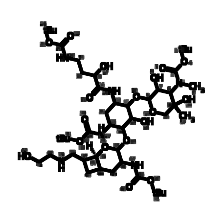 CN(C(=O)OC(C)(C)C)C1C(O)C(OC2C(NC(=O)C(O)CCNC(=O)OC(C)(C)C)CC(NC(=O)OC(C)(C)C)C(OC3O[C@@H]4C(CNCCO)CC4CC3NC(=O)OC(C)(C)C)C2O)OCC1(C)O